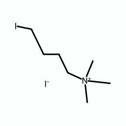 C[N+](C)(C)CCCCI.[I-]